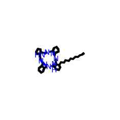 C=CCCCCCCCCCc1cccc2c3nc4nc(nc5[nH]c(nc6nc(nc([nH]3)c12)-c1ccccc1-6)c1ccccc51)-c1ccccc1-4